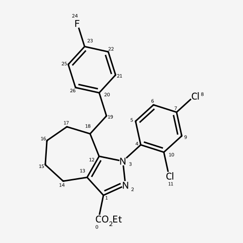 CCOC(=O)c1nn(-c2ccc(Cl)cc2Cl)c2c1CCCCC2Cc1ccc(F)cc1